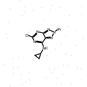 CC(C)n1nc2nc(Cl)nc(NC3CC3)c2n1